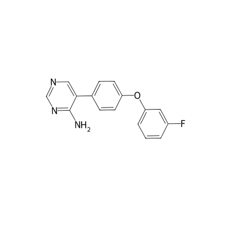 Nc1ncncc1-c1ccc(Oc2cccc(F)c2)cc1